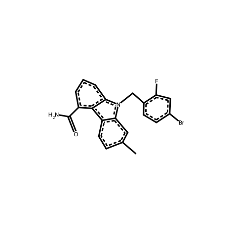 Cc1c[c]c2c3c(C(N)=O)cccc3n(Cc3ccc(Br)cc3F)c2c1